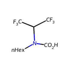 CCCCCCN(C(=O)O)C(C(F)(F)F)C(F)(F)F